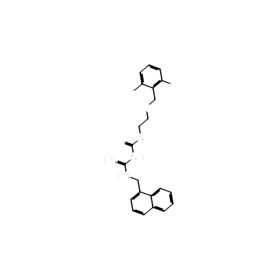 N=C(NCc1cccc2ccccc12)NC(=O)NCCSCc1c(F)cccc1Cl